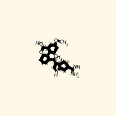 COc1ccc(-c2ccccc2C(C)c2c[nH]c3cc(C(=N)N)ccc23)c(C(=O)O)c1